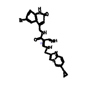 N=C/C(=C\NCc1cn2cc(C3CC3)ccc2n1)C(=O)NCc1cc(=O)[nH]c2ccc(Br)cc12